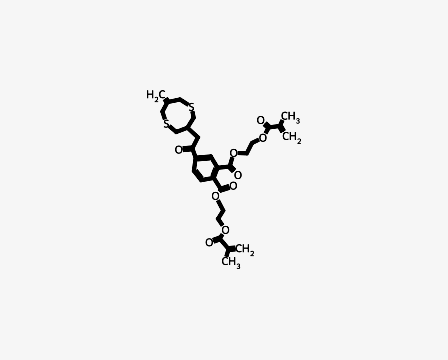 C=C1CSCC(CC(=O)c2ccc(C(=O)OCCOC(=O)C(=C)C)c(C(=O)OCCOC(=O)C(=C)C)c2)CSC1